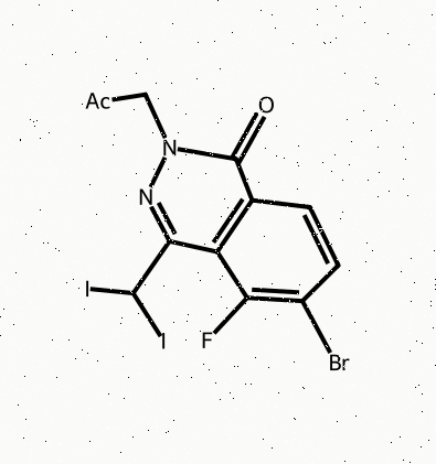 CC(=O)Cn1nc(C(I)I)c2c(F)c(Br)ccc2c1=O